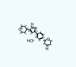 Cl.c1cc([C@H]2CNCCO2)ccc1-c1cc(C2CCOCC2)[nH]n1